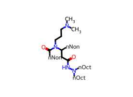 CCCCCCCCCC(=O)N(CCCN(C)C)C(CCCCCCCCC)CC(=O)NN(CCCCCCCC)CCCCCCCC